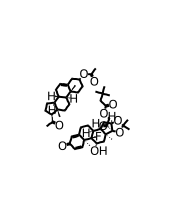 CC(=O)O[C@H]1CC[C@@]2(C)C(=CC[C@H]3[C@@H]4CC[C@H](C(C)=O)[C@@]4(C)CC[C@@H]32)C1.CC(C)(C)CC(=O)OCC(=O)[C@@]12OC(C)(C)O[C@@H]1C[C@H]1[C@@H]3CCC4=CC(=O)C=C[C@]4(C)[C@@]3(F)[C@@H](O)C[C@@]12C